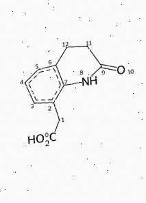 O=C(O)Cc1cccc2c1NC(=O)CC2